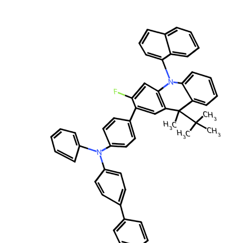 CC(C)(C)C1(C)c2ccccc2N(c2cccc3ccccc23)c2cc(F)c(-c3ccc(N(c4ccccc4)c4ccc(-c5ccccc5)cc4)cc3)cc21